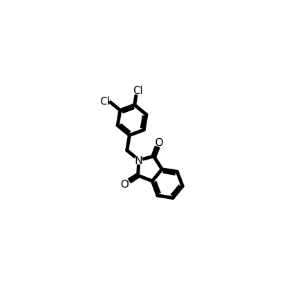 O=C1c2ccccc2C(=O)N1Cc1ccc(Cl)c(Cl)c1